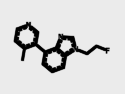 Cc1ccncc1-c1cccc2c1ncn2CCF